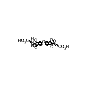 O=C(O)CCNC(=O)C1C(=O)c2ccc(Oc3ccc4c(c3)C(=O)C(C(=O)NCCC(=O)O)C4=O)cc2C1=O